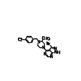 O=CC1CN(c2ncnc3[nH]nc(Br)c23)CCN1Cc1ccc(Cl)cc1